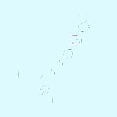 CC1(C)CCC(CN2CCN(c3ccc(S(=O)(=O)NC(=O)c4cccc(Cl)c4)cc3)CC2)=C(c2ccc(Cl)cc2)C1